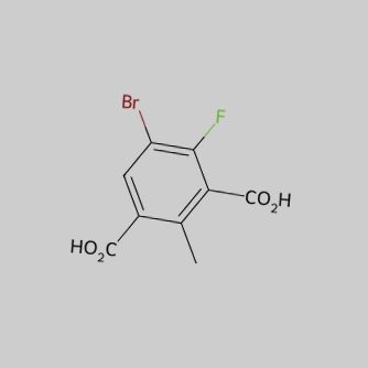 Cc1c(C(=O)O)cc(Br)c(F)c1C(=O)O